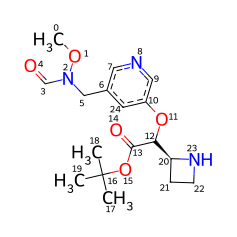 CON(C=O)Cc1cncc(OC(C(=O)OC(C)(C)C)[C@@H]2CCN2)c1